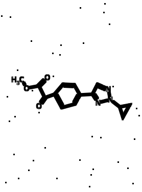 COC(=O)C(=O)c1ccc(-c2cnn(C3CC3)n2)cc1